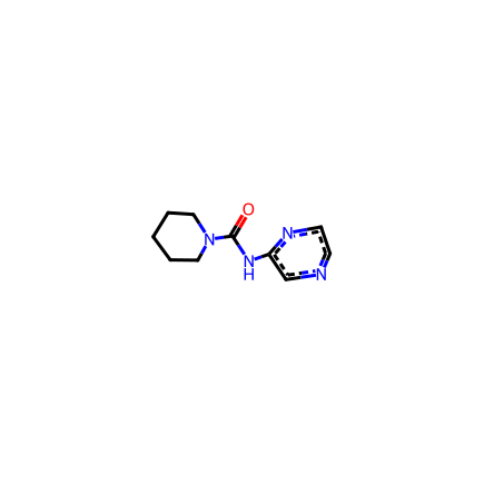 O=C(Nc1cnccn1)N1CCCCC1